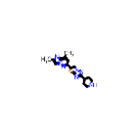 Cc1cn2nc(-c3cn4nc(C5CCNCC5)nc4s3)cc(C)c2n1